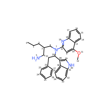 CCCC(CN)CN(c1cc(OC)c2ccccc2n1)C(Cc1ccccc1)c1c[nH]c2ccccc12